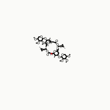 CO[C@@H]1[C@@H](OC)[C@H](O[C@H]2C[C@H]3C[C@@H]([C@H]4C[C@@H]4C)OC(=O)C[C@@H]4O[C@@H](C[C@H](O[C@@H]5OC[C@@H](OC)[C@H](OC)[C@H]5OC)[C@H]4C)C[C@@H]([C@H]4C[C@@H]4C)OC(=O)C[C@H](O3)[C@@H]2C)OC[C@H]1OC